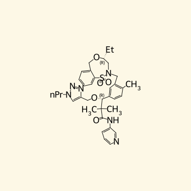 CCCn1cc(CO[C@H](c2ccc(C)c(CN3C[C@@H](CC)OCc4ccccc4S3(=O)=O)c2)C(C)(C)C(=O)Nc2cccnc2)nn1